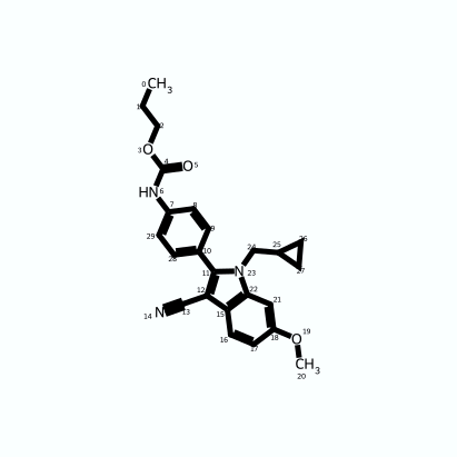 CCCOC(=O)Nc1ccc(-c2c(C#N)c3ccc(OC)cc3n2CC2CC2)cc1